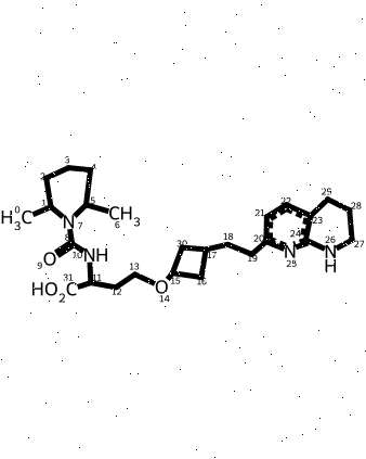 CC1CCCC(C)N1C(=O)NC(CCOC1CC(CCc2ccc3c(n2)NCCC3)C1)C(=O)O